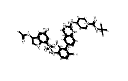 CC(=O)OC1COc2c1cc(Cl)cc2S(=O)(=O)Nc1ccc(F)c(-c2ccc3nc(NC4CCN(C(=O)OC(C)(C)C)CC4)ncc3c2)c1F